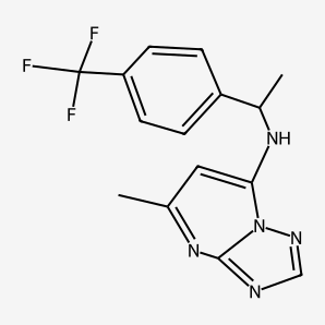 Cc1cc(NC(C)c2ccc(C(F)(F)F)cc2)n2ncnc2n1